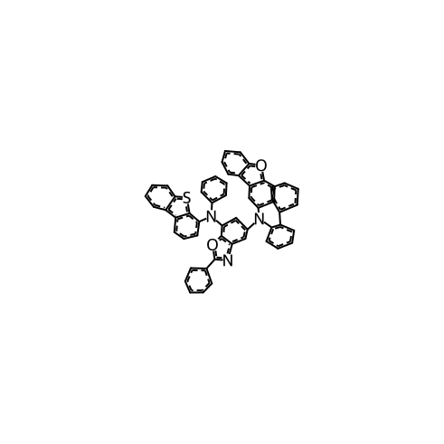 c1ccc(-c2nc3cc(N(c4ccc5oc6ccccc6c5c4)c4ccccc4-c4ccccc4)cc(N(c4ccccc4)c4cccc5c4sc4ccccc45)c3o2)cc1